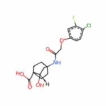 O=C(COc1ccc(Cl)c(F)c1)NC12CCC(C(=O)O)(CC1)[C@@H](O)C2